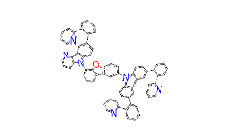 c1ccc(-c2ccccc2-c2ccc3c(c2)c2cc(-c4ccccc4-c4ccccn4)ccc2n3-c2ccc3oc4c(-n5c6ccc(-c7ccccc7-c7ccccn7)cc6c6ncccc65)cccc4c3c2)nc1